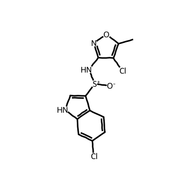 Cc1onc(N[S+]([O-])c2c[nH]c3cc(Cl)ccc23)c1Cl